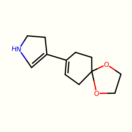 C1=C(C2=CCC3(CC2)OCCO3)CCN1